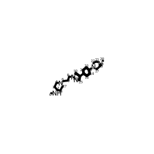 CNC1CCN(CCCn2cc(-c3ccc(N4CCN(C)CC4)cc3)cn2)CC1